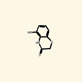 [NH]c1cccc2c1NC(=O)CO2